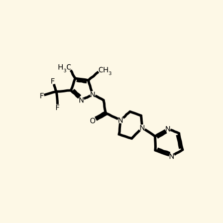 Cc1c(C(F)(F)F)nn(CC(=O)N2CCN(c3cnccn3)CC2)c1C